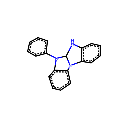 c1ccc(N2c3ccccc3N3c4ccccc4NC23)cc1